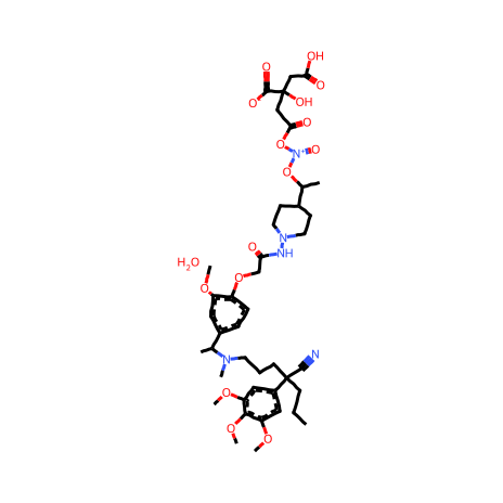 CCCC(C#N)(CCCN(C)C(C)c1ccc(OCC(=O)NN2CCC(C(C)O[N+](=O)OC(=O)CC(O)(CC(=O)O)C(=O)[O-])CC2)c(OC)c1)c1cc(OC)c(OC)c(OC)c1.O